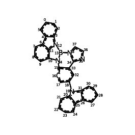 c1ccc2c(c1)c1cccc3c1n2B1N3c2ccc(-n3c4ccccc4c4ccccc43)cc2-c2nccn21